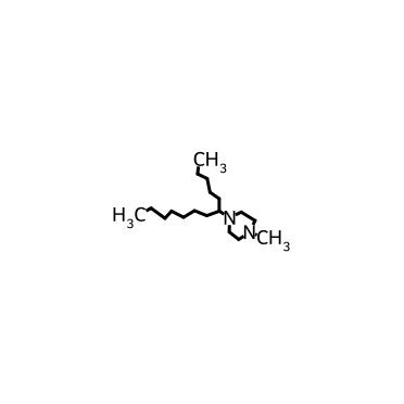 CCCCCCCC(CCCCC)N1CCN(C)CC1